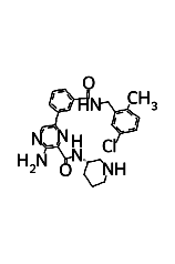 Cc1ccc(Cl)cc1CNC(=O)c1cccc(-c2cnc(N)c(C(=O)N[C@H]3CCCNC3)n2)c1